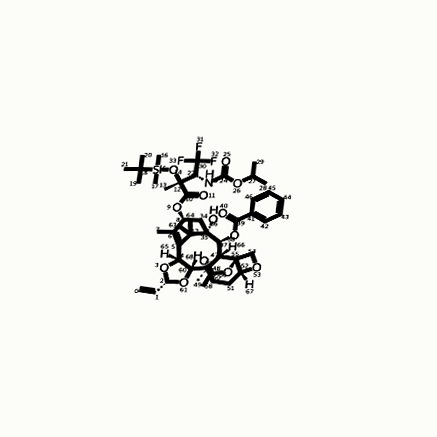 C=C[C@@H]1O[C@@H]2C3=C(C)[C@@H](OC(=O)[C@](C)(O[Si](C)(C)C(C)(C)C)[C@@H](NC(=O)OC(C)C)C(F)(F)F)C[C@@](O)([C@@H](OC(=O)c4ccccc4)[C@H]4[C@@](C)(CC[C@H]5OC[C@]54OC(C)=O)[C@@H]2O1)C3(C)C